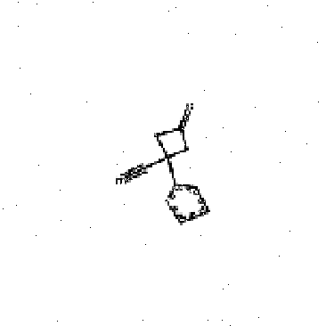 N#CC1(c2cccs2)CC(=O)C1